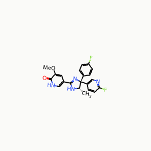 COc1cc(C2=N[C@](c3ccc(F)cc3)(c3ccc(F)nc3)[C@H](C)N2)c[nH]c1=O